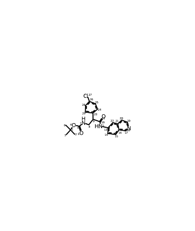 CC(C)(C)OC(=O)NCC(C(=O)Nc1ccc2cnccc2c1)c1ccc(Cl)cc1